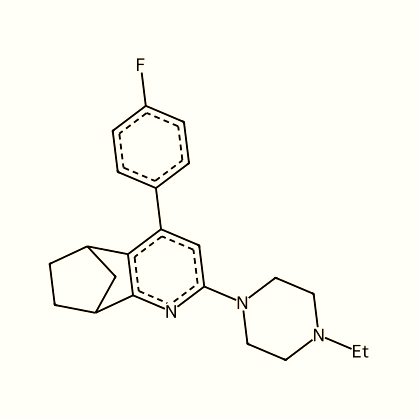 CCN1CCN(c2cc(-c3ccc(F)cc3)c3c(n2)C2CCC3C2)CC1